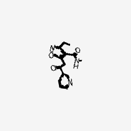 CCc1noc(CC(=O)c2cccnc2)c1C(=O)NC